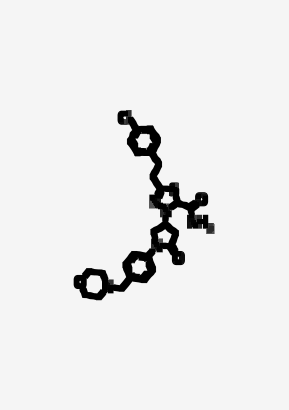 NC(=O)C1SC(CCc2ccc(Cl)cc2)=NN1[C@H]1CC(=O)N(c2ccc(CN3CCOCC3)cc2)C1